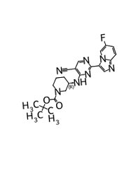 CC(C)(C)OC(=O)N1CCC[C@@H](Nc2nc(-c3cnc4ccc(F)cn34)ncc2C#N)C1